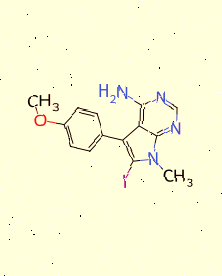 COc1ccc(-c2c(I)n(C)c3ncnc(N)c23)cc1